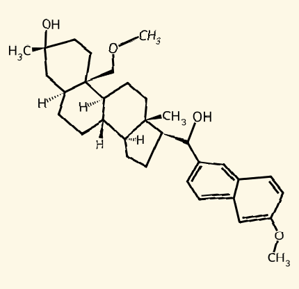 COC[C@]12CC[C@@](C)(O)C[C@@H]1CC[C@H]1[C@@H]3CC[C@H](C(O)c4ccc5cc(OC)ccc5c4)[C@@]3(C)CC[C@@H]12